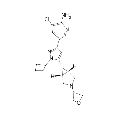 Nc1ncc(-c2cc([C@@H]3[C@@H]4CN(C5COC5)C[C@@H]43)n(C3CCC3)n2)cc1Cl